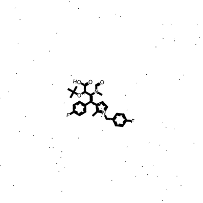 Cc1c(/C(=C(/C(OC(C)(C)C)C(=O)O)N(C)C=O)c2ccc(F)cc2)ccn1Cc1ccc(F)cc1